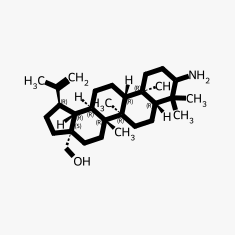 C=C(C)[C@@H]1CC[C@]2(CO)CC[C@]3(C)[C@H](CC[C@@H]4[C@@]5(C)CCC(N)C(C)(C)[C@@H]5CC[C@]43C)[C@@H]12